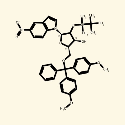 COc1ccc(C(OC[C@H]2O[C@@H](n3ccc4cc([N+](=O)[O-])ccc43)C(O[Si](C)(C)C(C)(C)C)[C@H]2O)(c2ccccc2)c2ccc(OC)cc2)cc1